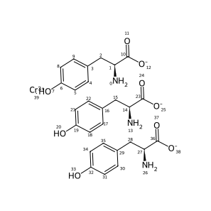 N[C@@H](Cc1ccc(O)cc1)C(=O)[O-].N[C@@H](Cc1ccc(O)cc1)C(=O)[O-].N[C@@H](Cc1ccc(O)cc1)C(=O)[O-].[Cr+3]